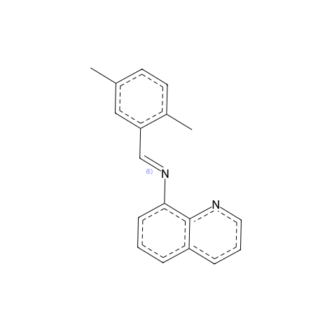 Cc1ccc(C)c(/C=N/c2cccc3cccnc23)c1